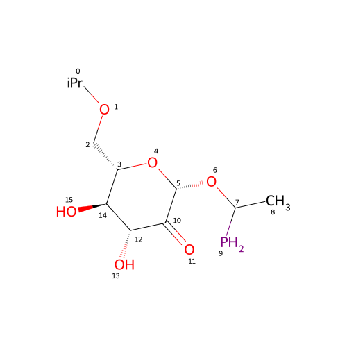 CC(C)OC[C@@H]1O[C@H](OC(C)P)C(=O)[C@H](O)[C@H]1O